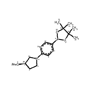 CO[C@@H]1CCN(c2ccc(B3OC(C)(C)C(C)(C)O3)cn2)C1